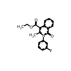 CCOC(=O)c1c(C)n(-c2cccc(F)c2)c(=O)c2ccccc12